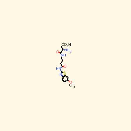 N[C@@H](CC(=O)O)C(=O)NCCCC(=O)Nc1nc2ccc(OC(F)(F)F)cc2s1